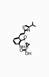 CC(C)c1csc(C=Cc2cccc(N)c2C(=O)[C@@H]2C[C@@H]2C(=O)O)n1